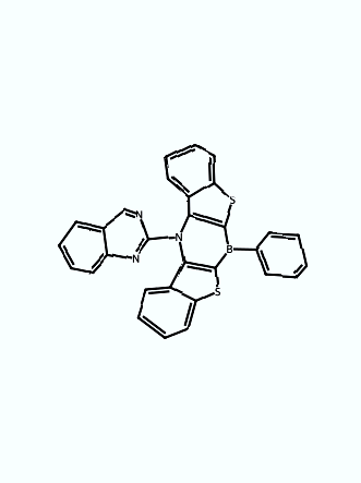 c1ccc(B2c3sc4ccccc4c3N(c3ncc4ccccc4n3)c3c2sc2ccccc32)cc1